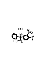 CN(C)c1ccc(C(N)(C(N)=O)c2ccccc2)cc1[N+](=O)[O-].Cl